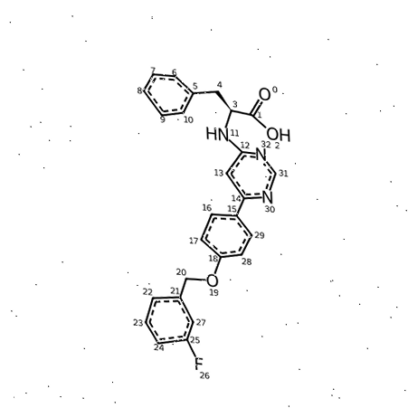 O=C(O)[C@H](Cc1ccccc1)Nc1cc(-c2ccc(OCc3cccc(F)c3)cc2)ncn1